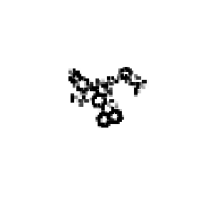 C[C@@H]1Cn2cncc2CN1c1nc(OC[C@@H]2CCCN2CC(F)(F)F)nc2c1CCN(c1cccc3cccc(Cl)c13)C2